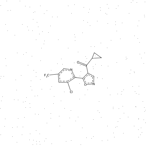 O=C(c1cnoc1-c1ncc(C(F)(F)F)cc1Cl)C1CC1